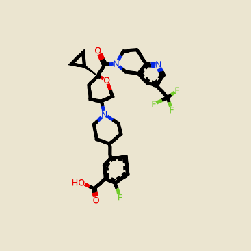 O=C(O)c1cc(C2CCN(C3CC[C@@](C(=O)N4CCc5ncc(C(F)(F)F)cc5C4)(C4CC4)OC3)CC2)ccc1F